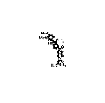 COc1ccc(-c2[nH]c3ccc(C(=O)N4CC5CN(C(=O)CN(C)C)CC5C4)cc3c2CC(F)(F)F)cc1OC